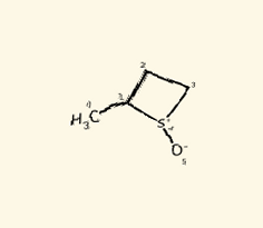 CC1CC[S+]1[O-]